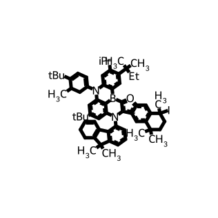 CCC(C)(C)c1cc2c(cc1C(C)C)N(C1=CC=C(C(C)(C)C)C(C)C1)c1cc(C(C)(C)C)cc3c1B2c1oc2cc4c(cc2c1N3c1cccc2c1C1=C(CCC=C1)C2(C)C)C(C)(C)CCC4(C)I